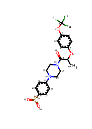 CC(Oc1ccc(OC(F)(F)F)cc1)C(=O)N1CCN(c2ccc([SH](=O)=O)cc2)CC1